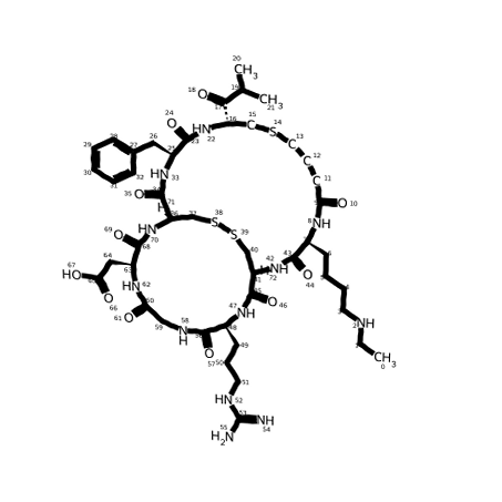 CCNCCCC[C@@H]1NC(=O)CCCSC[C@@H](C(=O)C(C)C)NC(=O)[C@H](Cc2ccccc2)NC(=O)[C@@H]2CSSC[C@H](NC1=O)C(=O)N[C@@H](CCCNC(=N)N)C(=O)NCC(=O)N[C@@H](CC(=O)O)C(=O)N2